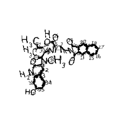 CC(C)C[C@H](N[C@H](CCN1C(=O)c2cc3ccccc3cc2C1=O)C(=O)O)C(=O)N(C)[C@@H](Cc1ccc(O)cc1)C(N)=O